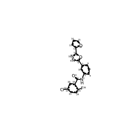 O=C(Nc1cccc(-c2nnc(-c3ccco3)o2)c1)c1cc(Cl)ccc1F